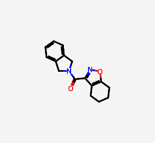 O=C(c1noc2c1CCCC2)N1Cc2ccccc2C1